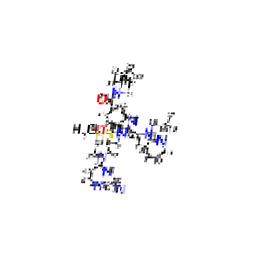 C=[SH]C1(Cn2c(-c3cc4cccnc4n3CC3CC3)nc3cc(C(=O)N4CC5CC6CC4[C@H]65)cc(OC)c32)CCN(c2ccnc(C#N)n2)C1